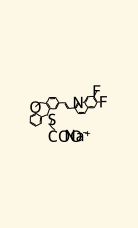 O=C([O-])CCSC1c2cc(C=Cc3ccc4cc(F)c(F)cc4n3)ccc2COc2ccccc21.[Na+]